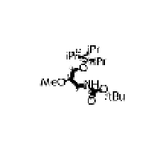 CO[C@H](CNC(=O)OC(C)(C)C)CO[Si](C(C)C)(C(C)C)C(C)C